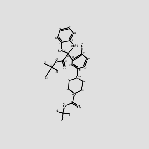 CC(C)(C)OC(=O)N1CCN(c2ccc(F)c(C3(C(=O)OC(C)(C)C)Nc4ccccc4N3)c2)CC1